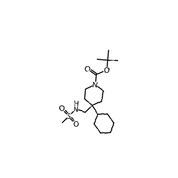 CC(C)(C)OC(=O)N1CCC(CNS(C)(=O)=O)(C2CCCCC2)CC1